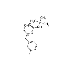 CC(C)(C)NC(=O)O[C@H](CO)Cc1cccc(I)c1